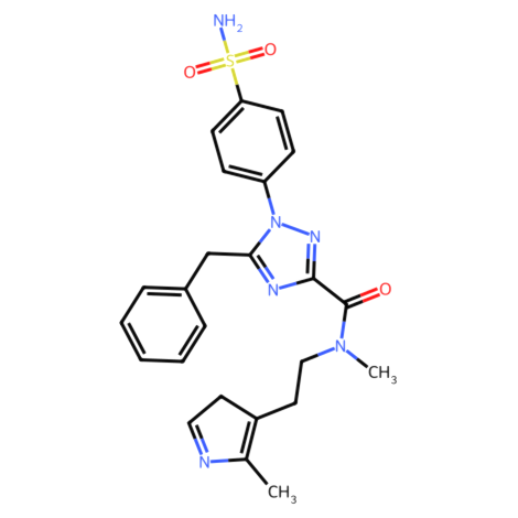 CC1=C(CCN(C)C(=O)c2nc(Cc3ccccc3)n(-c3ccc(S(N)(=O)=O)cc3)n2)CC=N1